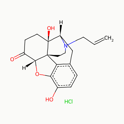 C=CCN1CC[C@@]23c4c5ccc(O)c4O[C@@H]2C(=O)CC[C@]3(O)[C@@H]1C5.Cl